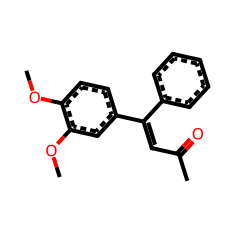 COc1ccc(C(=CC(C)=O)c2ccccc2)cc1OC